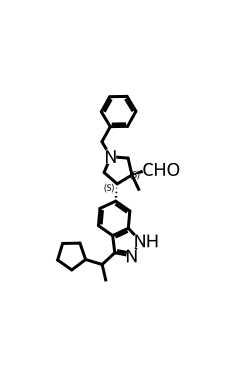 CC(c1n[nH]c2cc([C@@H]3CN(Cc4ccccc4)C[C@@]3(C)C=O)ccc12)C1CCCC1